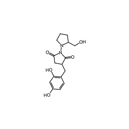 O=C1CC(Cc2ccc(O)cc2O)C(=O)N1N1CCCC1CO